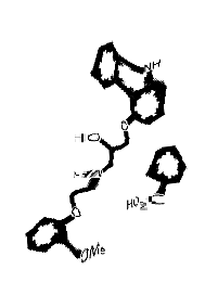 COc1ccccc1OCCNCC(O)COc1cccc2[nH]c3ccccc3c12.O=C(O)c1ccccc1